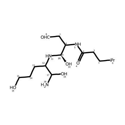 CC(C)CCC(=O)NC(CC=O)[C@@H](O)NC(CCCO)C(N)O